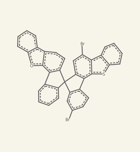 Brc1ccc2c(c1)C1(c3ccccc3-c3c1ccc1c3oc3ccccc31)c1cc(Br)c3c(sc4ccccc43)c1-2